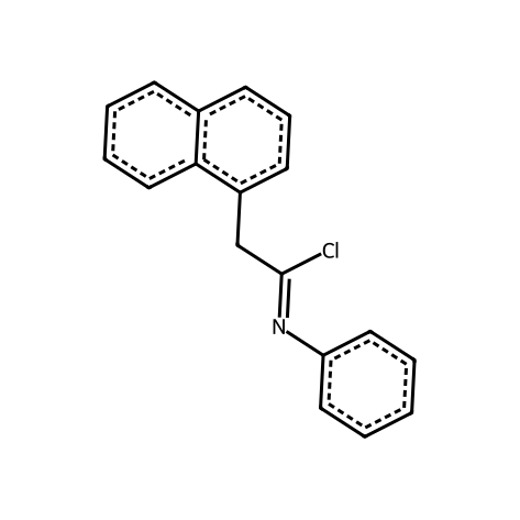 ClC(Cc1cccc2ccccc12)=Nc1ccccc1